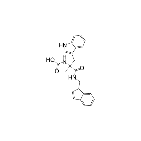 CC(Cc1c[nH]c2ccccc12)(NC(=O)O)C(=O)NCC1C=Cc2ccccc21